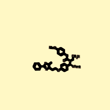 CCCCC[C@@H](c1ccc(OCCc2nc(-c3ccccc3)oc2C)cc1)N(CC(=O)O)C(=O)Oc1ccc(OC)cc1